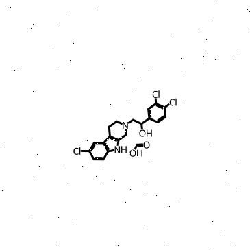 O=CO.OC(CN1CCc2c([nH]c3ccc(Cl)cc23)C1)c1ccc(Cl)c(Cl)c1